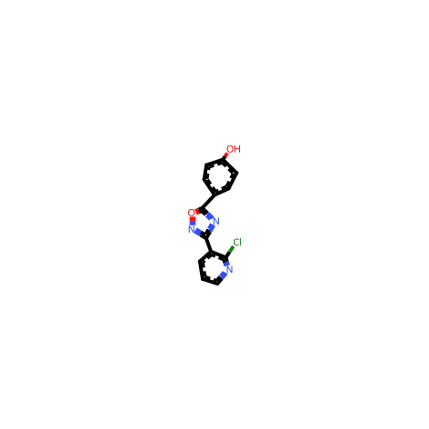 Oc1ccc(-c2nc(-c3cccnc3Cl)no2)cc1